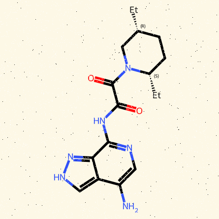 CC[C@@H]1CC[C@H](CC)N(C(=O)C(=O)Nc2ncc(N)c3c[nH]nc23)C1